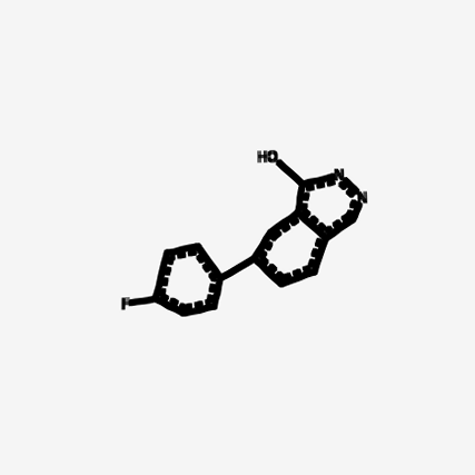 Oc1nncc2ccc(-c3ccc(F)cc3)cc12